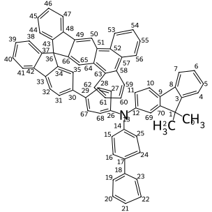 CC1(C)c2ccccc2-c2ccc(N(c3ccc(-c4ccccc4)cc3)c3ccc(-c4ccc5c(c4)C4(c6ccccc6-5)c5ccccc5-c5cc6c7ccccc7c7ccccc7c6cc54)cc3)cc21